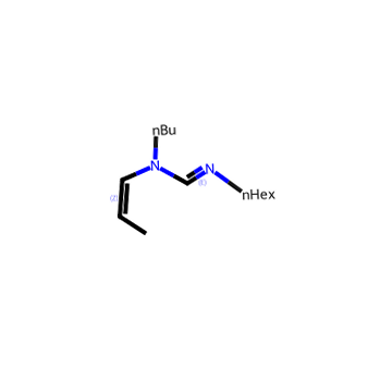 C/C=C\N(/C=N/CCCCCC)CCCC